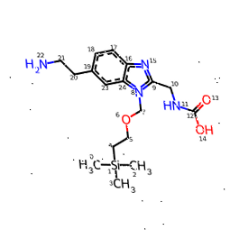 C[Si](C)(C)CCOCn1c(CNC(=O)O)nc2ccc(CCN)cc21